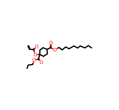 C=CC(=O)OC1(C(=O)OCCC)CCC(C(=O)OCCCCCCCCCC)CC1